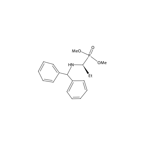 CC[C@@H](NC(c1ccccc1)c1ccccc1)P(=O)(OC)OC